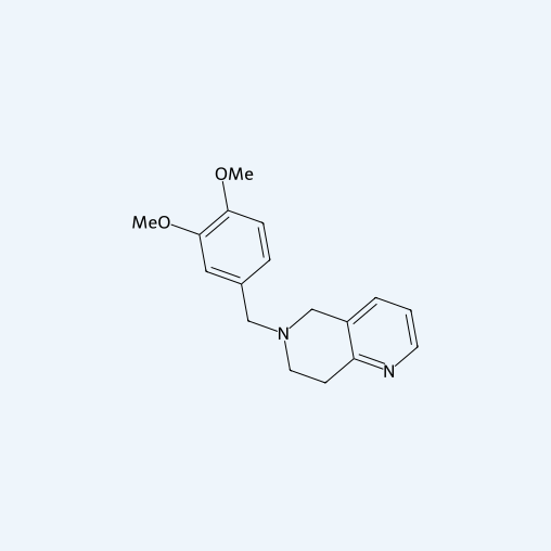 COc1ccc(CN2CCc3ncccc3C2)cc1OC